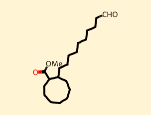 COC(=O)C1CCCCCCCC1CCCCCCCCCC=O